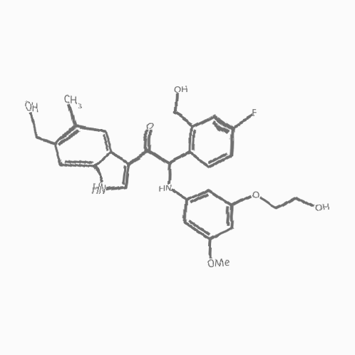 COc1cc(NC(C(=O)c2c[nH]c3cc(CO)c(C)cc23)c2ccc(F)cc2CO)cc(OCCO)c1